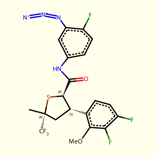 COc1c([C@@H]2C[C@](C)(C(F)(F)F)S[C@H]2C(=O)Nc2ccc(F)c(N=[N+]=[N-])c2)ccc(F)c1F